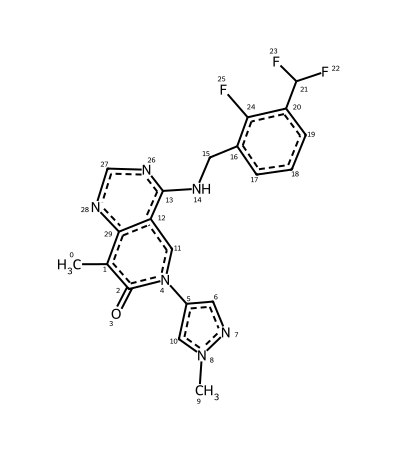 Cc1c(=O)n(-c2cnn(C)c2)cc2c(NCc3cccc(C(F)F)c3F)ncnc12